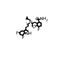 C[C@@H](CCc1c[nH]c2c(F)cc(F)cc12)N(CC1CC1)[C@H]1COc2c(F)ccc(C(N)=O)c2C1